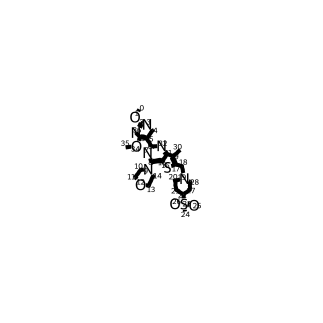 COc1ncc(-c2nc(N3CCOCC3)c3sc(CN4CCC(S(C)(=O)=O)CC4)c(C)c3n2)c(OC)n1